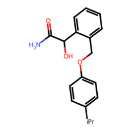 CC(C)c1ccc(OCc2ccccc2C(O)C(N)=O)cc1